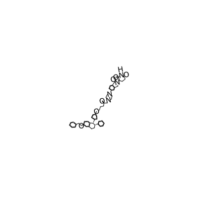 O=C(CCCOc1ccc([C@@H]2c3ccc(OCc4ccccc4)cc3CC[C@@H]2c2ccccc2)cc1)CN1CCN(c2ccc3c(c2)CN(C2CCC(=O)NC2=O)C3=O)CC1